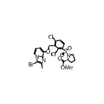 COC(=O)[C@@H]1CCCN1S(=O)(=O)c1ccc(Cl)c(COc2cccn3c(Br)c(C)nc23)c1Cl